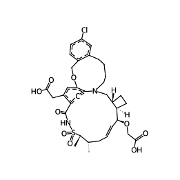 C[C@@H]1[C@@H](C)C/C=C/[C@H](OCC(=O)O)[C@@H]2CC[C@H]2CN2CCCCc3cc(Cl)ccc3COc3cc(CC(=O)O)c(cc32)C(=O)NS1(=O)=O